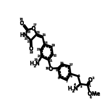 COC(=O)C(N)Cc1ccc(Oc2ccc(/C=C3/OC(=O)NC3=O)cc2N)cc1